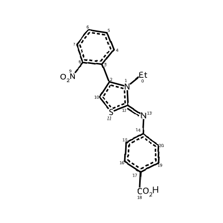 CCn1c(-c2ccccc2[N+](=O)[O-])csc1=Nc1ccc(C(=O)O)cc1